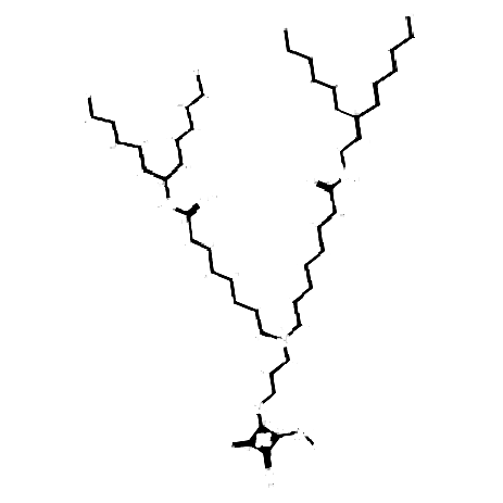 CCCCCCC(CCCCCC)CCOC(=O)CCCCCCCN(CCCCCCCC(=O)OC(CCCCCC)CCCCCC)CCCNc1c(NC)c(=O)c1=O